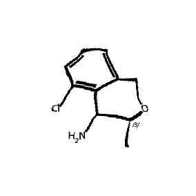 C[C@@H]1OCc2cccc(Cl)c2C1N